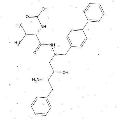 CC(C)[C@H](NC(=O)O)C(=O)NN(Cc1ccc(-c2ccccn2)cc1)C[C@H](O)[C@@H](N)Cc1ccccc1